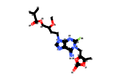 COC(CCn1cnc2c(=N)n(Cc3oc(=O)oc3C)c(F)nc21)COC(=O)C(C)C